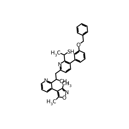 Cc1noc(C)c1-c1cccnc1C(C)Cc1ccc(-c2cccc(OCc3ccccc3)c2)c(C(C)S)n1